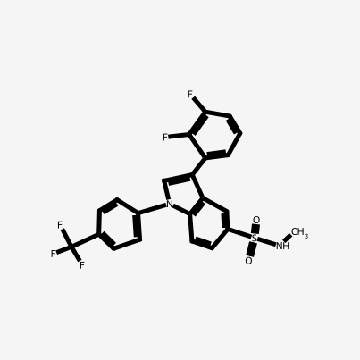 CNS(=O)(=O)c1ccc2c(c1)c(-c1cccc(F)c1F)cn2-c1ccc(C(F)(F)F)cc1